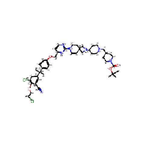 CC(C)(C)OC(=O)N1CCC(CN2CCC(N3CC4(CCN(c5nccc(COc6ccc(C(C)(C)c7cc(Cl)c(OCCCl)c(C#N)c7)cc6)n5)CC4)C3)CC2)CC1